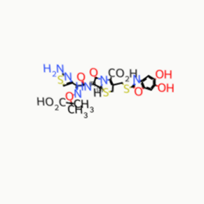 CC(C)(ON=C(C(=O)N[C@@H]1C(=O)N2C(C(=O)O)=C(CSc3nc4cc(O)c(O)cc4o3)CS[C@@H]12)c1csc(N)n1)C(=O)O